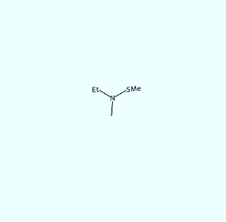 [C]SN(C)CC